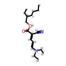 CCCCC(CC)COC(=O)/C(C#N)=C/C=C/N(CC)CC